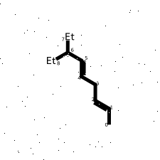 CC=CCC=CC(CC)CC